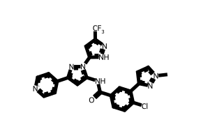 Cn1ccc(-c2cc(C(=O)Nc3cc(-c4ccncc4)nn3-c3cc(C(F)(F)F)n[nH]3)ccc2Cl)n1